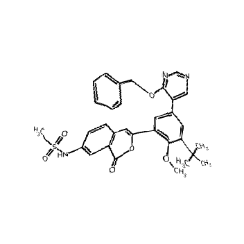 COc1c(-c2cc3ccc(NS(C)(=O)=O)cc3c(=O)o2)cc(-c2cncnc2OCc2ccccc2)cc1C(C)(C)C